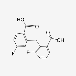 O=C(O)c1ccc(F)cc1Cc1c(F)cccc1C(=O)O